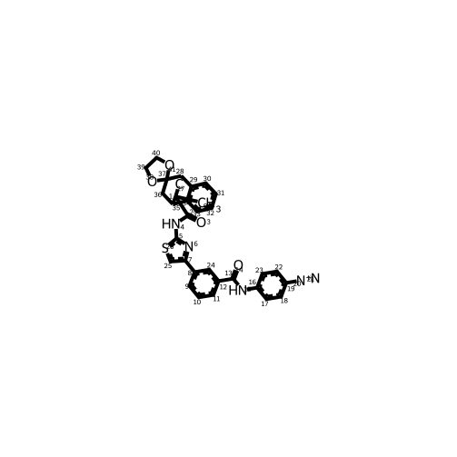 CC1(C(=O)Nc2nc(-c3cccc(C(=O)Nc4ccc([N+]#N)cc4)c3)cs2)CC2c3ccccc3C1CC21OCCO1